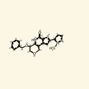 Cn1nccc1-c1cc2c3c([nH]c(=O)c2s1)C(OCc1ccccc1)COC3